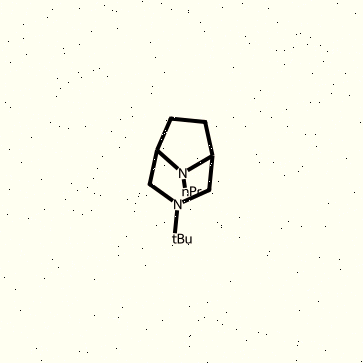 CCCN1C2CCC1CN(C(C)(C)C)C2